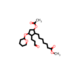 COC(=O)CCCCCCC1C(OC(C)=O)CC(OC2CCCCO2)C1CCC=O